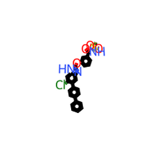 CS(=O)(=O)NC(=O)c1cccc(Oc2nc3cc(-c4ccc(-c5ccccc5)cc4)c(Cl)cc3[nH]2)c1